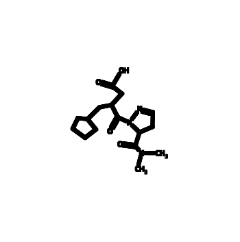 CN(C)C(=O)C1CC=NN1C(=O)C(CC(=O)O)CC1CCCC1